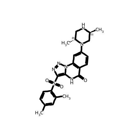 Cc1ccc(S(=O)(=O)c2nnn3c2[nH]c(=O)c2ccc(N4C[C@H](C)NC[C@H]4C)cc23)c(C)c1